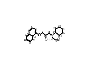 OC(COc1cccc2ccccc12)CN1CCOC2CCCCC21